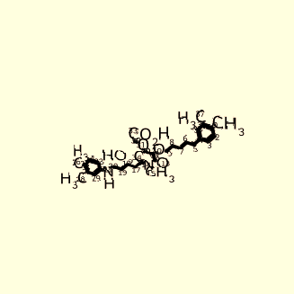 Cc1ccc(CCCCCO[C@@H](C(=O)N(C)CCCCCNc2ccc(C)c(C)c2)[C@@H](OCC(=O)O)C(=O)O)cc1C